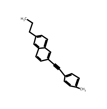 CCCc1ccc2cc(C#Cc3ccc(C)cc3)ccc2c1